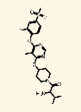 Cc1c(Oc2ccc(S(C)(=O)=O)cc2F)ncnc1OC1CCN(C(=O)C(N)C(C)C)CC1